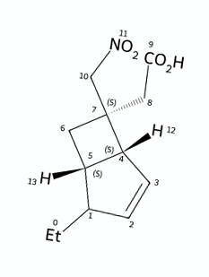 CCC1C=C[C@@H]2[C@H]1C[C@@]2(CC(=O)O)C[N+](=O)[O-]